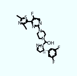 Cc1nc(C)c(-c2nc(N3CCN(C(O)N4N=CC[C@H]4c4cc(F)cc(F)c4)CC3)ncc2F)s1